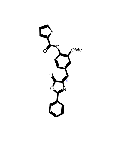 COc1cc(/C=C2/N=C(c3ccccc3)OC2=O)ccc1OC(=O)c1cccs1